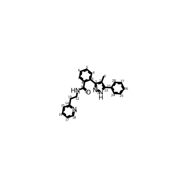 Cc1c(-c2ccccc2C(=O)NCCc2ccccn2)n[nH]c1-c1ccccc1